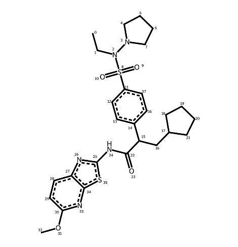 CCN(N1CCCC1)S(=O)(=O)c1ccc(C(CC2CCCC2)C(=O)Nc2nc3ccc(OC)nc3s2)cc1